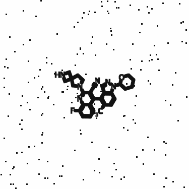 Cc1ccc2c(cnn2C2CCCCO2)c1-c1c(C#N)c(N2CCC3(CNC3)C2)nc2c(F)cccc12